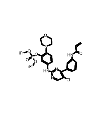 C=CC(=O)Nc1cccc(-c2nc(Nc3ccc(N4CCOCC4)c(OP(=O)(OC(C)C)OC(C)C)c3)ncc2Cl)c1